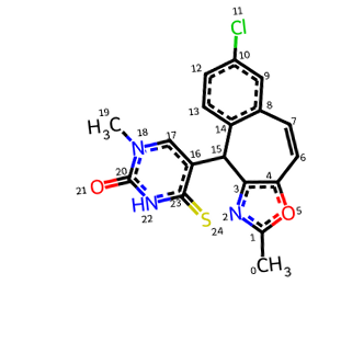 Cc1nc2c(o1)C=Cc1cc(Cl)ccc1C2c1cn(C)c(=O)[nH]c1=S